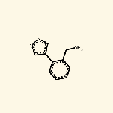 NCc1ccccc1-c1[c]n[nH]c1